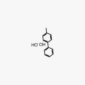 Cc1ccc(-c2ccccc2)cc1.Cl.Cl